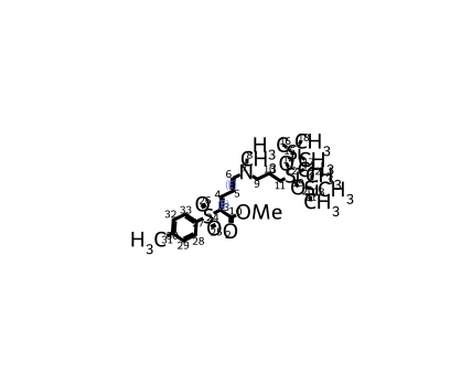 COC(=O)/C(=C\C=C\N(C)CCC[Si](C)(O[Si](C)(C)C)O[Si](C)(C)C)S(=O)(=O)c1ccc(C)cc1